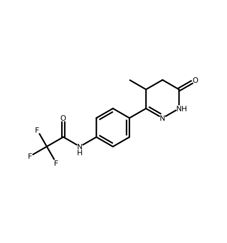 CC1CC(=O)NN=C1c1ccc(NC(=O)C(F)(F)F)cc1